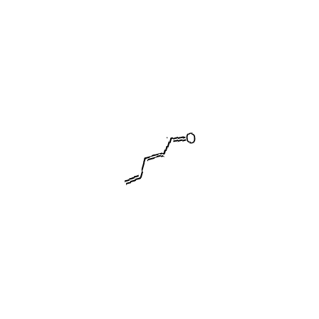 C=C/C=C/[C]=O